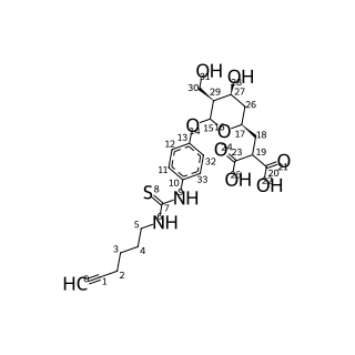 C#CCCCCNC(=S)Nc1ccc(OC2O[C@H](CC(C(=O)O)C(=O)O)C[C@H](O)[C@@H]2CO)cc1